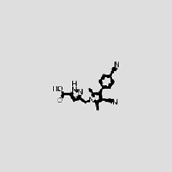 Cc1c(C#N)c(-c2ccc(C#N)cc2)c(C)n1Cc1cc(C(=O)O)[nH]n1